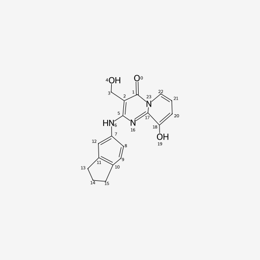 O=c1c(CO)c(Nc2ccc3c(c2)CCC3)nc2c(O)cccn12